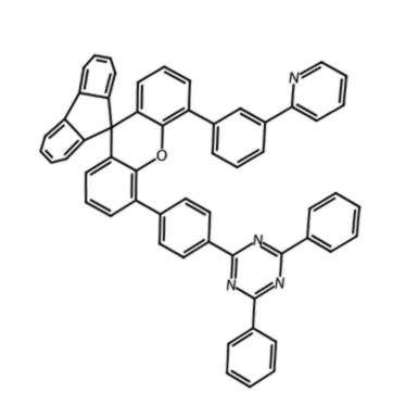 c1ccc(-c2nc(-c3ccccc3)nc(-c3ccc(-c4cccc5c4Oc4c(-c6cccc(-c7ccccn7)c6)cccc4C54c5ccccc5-c5ccccc54)cc3)n2)cc1